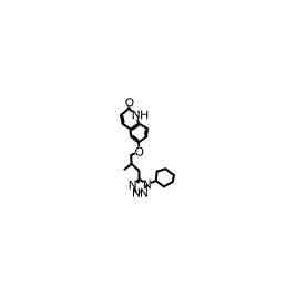 CC(COc1ccc2[nH]c(=O)ccc2c1)Cc1nnnn1C1CCCCC1